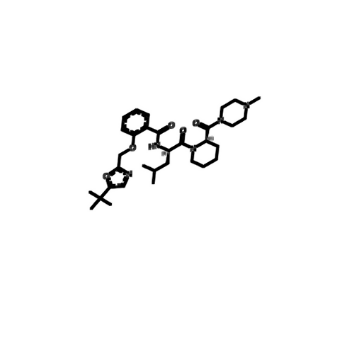 CC(C)C[C@@H](NC(=O)c1ccccc1OCc1ncc(C(C)(C)C)o1)C(=O)N1CCCC[C@@H]1C(=O)N1CCN(C)CC1